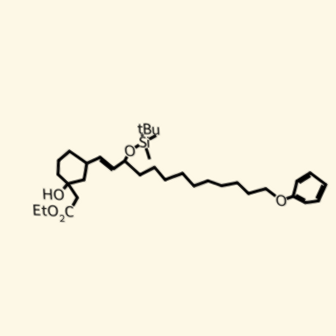 CCOC(=O)CC1(O)CCCC(C=CC(CCCCCCCCCCOc2ccccc2)O[Si](C)(C)C(C)(C)C)C1